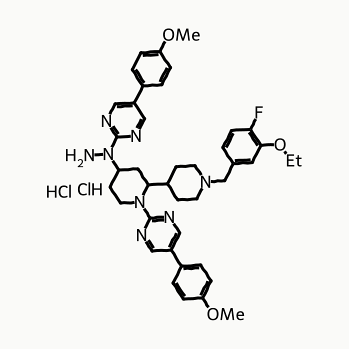 CCOc1cc(CN2CCC(C3CC(N(N)c4ncc(-c5ccc(OC)cc5)cn4)CCN3c3ncc(-c4ccc(OC)cc4)cn3)CC2)ccc1F.Cl.Cl